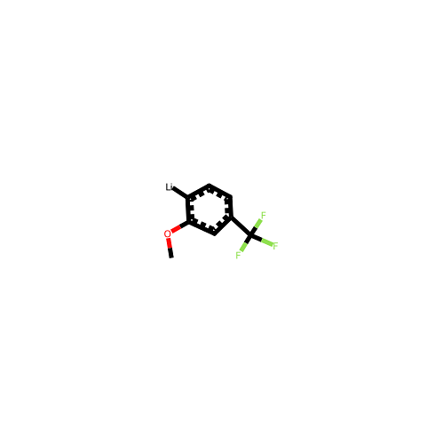 [Li][c]1ccc(C(F)(F)F)cc1OC